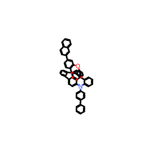 c1ccc(-c2ccc(N(c3ccc4c(c3)C3(c5ccccc5Oc5cc(-c6ccc7ccccc7c6)ccc53)c3ccccc3-4)c3ccccc3-c3ccccc3)cc2)cc1